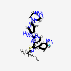 CC(C)c1nc(-c2ccc(F)c(N)c2)c(-c2ccnc(Nc3ccc(N4CCNCC4)nc3)n2)s1